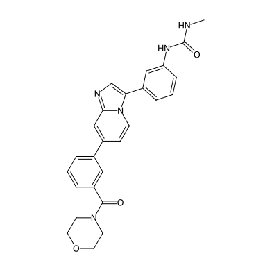 CNC(=O)Nc1cccc(-c2cnc3cc(-c4cccc(C(=O)N5CCOCC5)c4)ccn23)c1